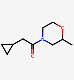 CC1CN(C(=O)CC2CC2)CCO1